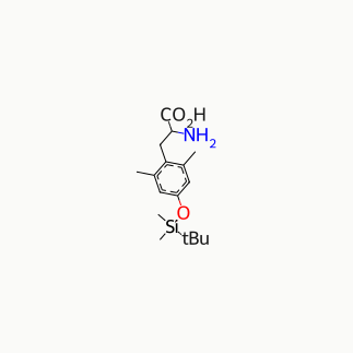 Cc1cc(O[Si](C)(C)C(C)(C)C)cc(C)c1CC(N)C(=O)O